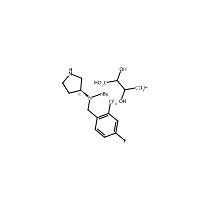 CCCCN(Cc1ccc(F)cc1C(F)(F)F)[C@H]1CCNC1.O=C(O)C(O)C(O)C(=O)O